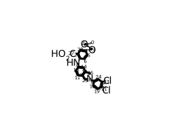 CS(=O)(=O)c1ccc(Nc2ccc3c(c2)CN(c2ccc(Cl)c(Cl)c2)C3)c(C(=O)O)c1